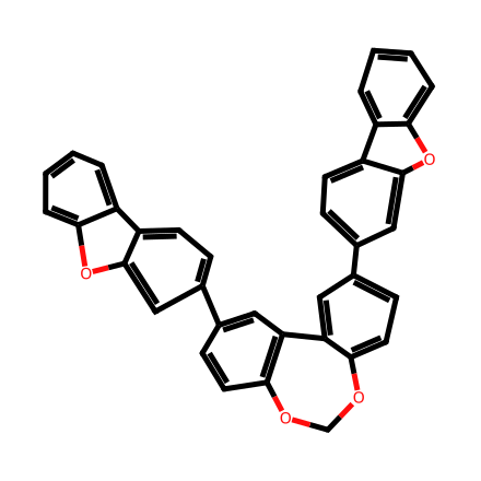 c1ccc2c(c1)oc1cc(-c3ccc4c(c3)-c3cc(-c5ccc6c(c5)oc5ccccc56)ccc3OCO4)ccc12